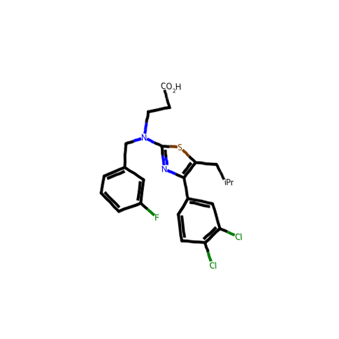 CC(C)Cc1sc(N(CCC(=O)O)Cc2cccc(F)c2)nc1-c1ccc(Cl)c(Cl)c1